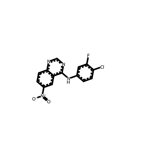 O=[N+]([O-])c1ccc2ncnc(Nc3ccc(Cl)c(F)c3)c2c1